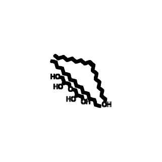 CCCCCCCC/C=C\CCCCCCCCO.CCCCCCCCCCCCCCCC.OCC(O)COCC(O)CO